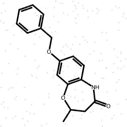 CC1CC(=O)Nc2ccc(OCc3ccccc3)cc2O1